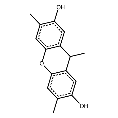 Cc1cc2c(cc1O)C(C)c1cc(O)c(C)cc1O2